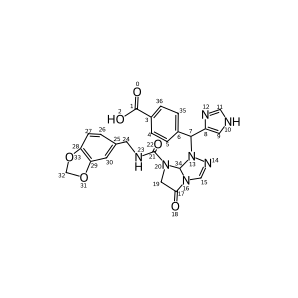 O=C(O)c1ccc(C(c2c[nH]cn2)N2N=CN3C(=O)CN(C(=O)NCc4ccc5c(c4)OCO5)C32)cc1